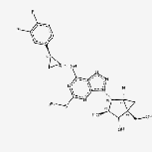 CCCSc1nc(N[C@@H]2C[C@H]2c2ccc(F)c(F)c2)c2nnn([C@H]3[C@H](O)C(O)[C@@]4(CO)C[C@H]34)c2n1